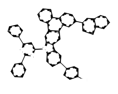 Cc1ccc(-c2ccc3c(c2)c2cc4c5cc(-c6ccc7ccccc7c6)ccc5c5ccccc5c4cc2n3-c2cc(-c3ccccc3)nc(-c3ccccc3)n2)cc1